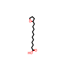 O=C(O)CCCCCCCCCCC1CCCO1